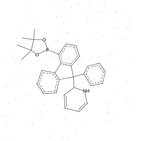 CC1(C)OB(c2cccc3c2-c2ccccc2C3(c2ccccc2)C2C=CC=CN2)OC1(C)C